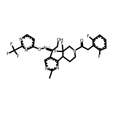 Cc1ncc(/C(CO)=N\Oc2ccnc(C(F)(F)F)n2)c(C2CCN(C(=O)Cc3c(F)cccc3F)CC2(F)F)n1